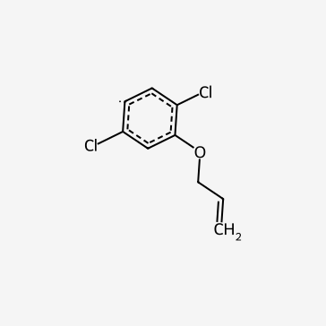 C=CCOc1cc(Cl)[c]cc1Cl